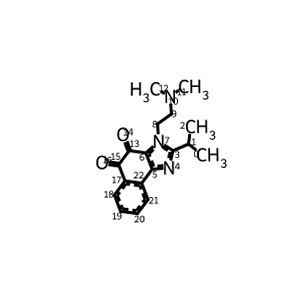 CC(C)c1nc2c(n1CCN(C)C)C(=O)C(=O)c1ccccc1-2